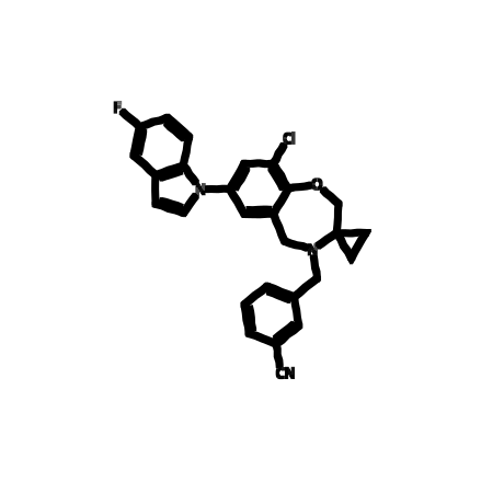 N#Cc1cccc(CN2Cc3cc(-n4ccc5cc(F)ccc54)cc(Cl)c3OCC23CC3)c1